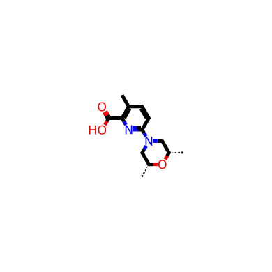 Cc1ccc(N2C[C@@H](C)O[C@@H](C)C2)nc1C(=O)O